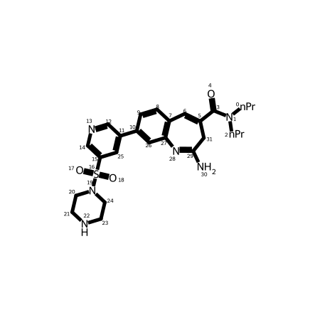 CCCN(CCC)C(=O)C1=Cc2ccc(-c3cncc(S(=O)(=O)N4CCNCC4)c3)cc2N=C(N)C1